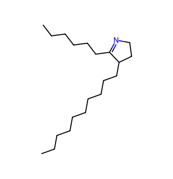 CCCCCCCCCCC1CCN=C1CCCCCC